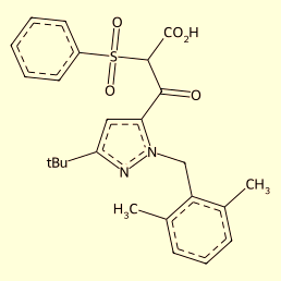 Cc1cccc(C)c1Cn1nc(C(C)(C)C)cc1C(=O)C(C(=O)O)S(=O)(=O)c1ccccc1